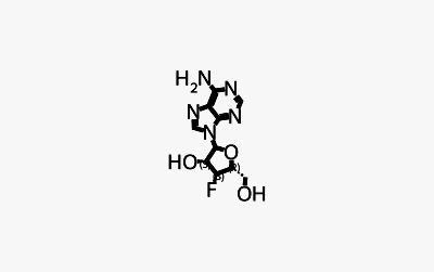 Nc1ncnc2c1ncn2C1O[C@H](CO)[C@@H](F)[C@H]1O